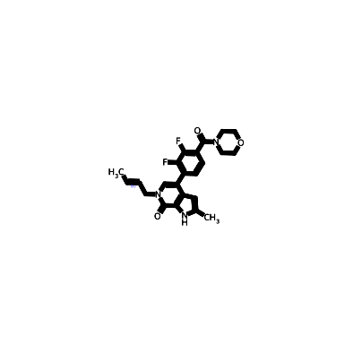 C/C=C/Cn1cc(-c2ccc(C(=O)N3CCOCC3)c(F)c2F)c2cc(C)[nH]c2c1=O